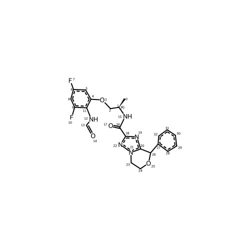 C[C@H](COc1cc(F)cc(F)c1NC=O)NC(=O)c1nc2n(n1)CCOC2c1ccccc1